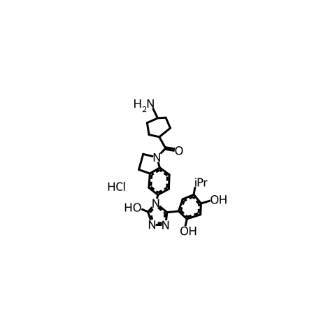 CC(C)c1cc(-c2nnc(O)n2-c2ccc3c(c2)CCN3C(=O)C2CCC(N)CC2)c(O)cc1O.Cl